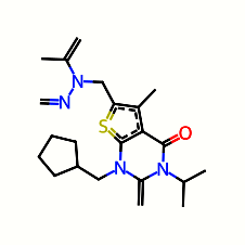 C=NN(Cc1sc2c(c1C)C(=O)N(C(C)C)C(=C)N2CC1CCCC1)C(=C)C